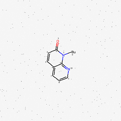 CCC(C)n1c(=O)ccc2cccnc21